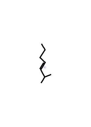 CCC/C=C/[C](C)C